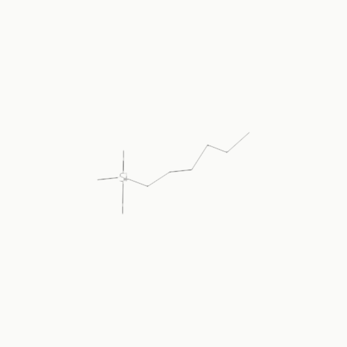 CCCCCC[Si](C)(I)I